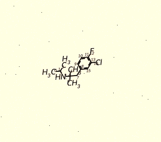 CC(C)NC(C)(C)Cc1ccc(F)c(Cl)c1